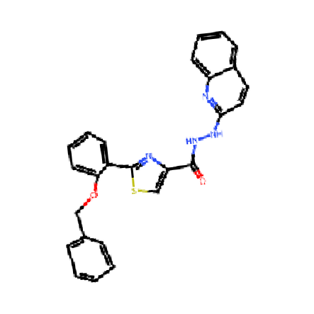 O=C(NNc1ccc2ccccc2n1)c1csc(-c2ccccc2OCc2ccccc2)n1